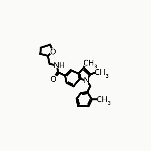 Cc1ccccc1Cn1c(C)c(C)c2cc(C(=O)NCC3CCCO3)ccc21